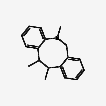 CC1c2ccccc2CN(C)c2ccccc2C1C